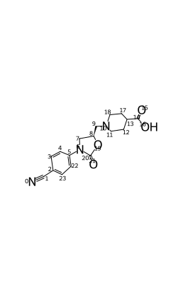 N#Cc1ccc(N2C[C@@H](CN3CCC(C(=O)O)CC3)OC2=O)cc1